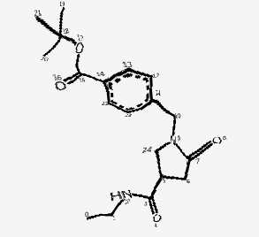 CCNC(=O)C1CC(=O)N(Cc2ccc(C(=O)OC(C)(C)C)cc2)C1